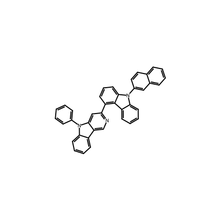 c1ccc(-n2c3ccccc3c3cnc(-c4cccc5c4c4ccccc4n5-c4ccc5ccccc5c4)cc32)cc1